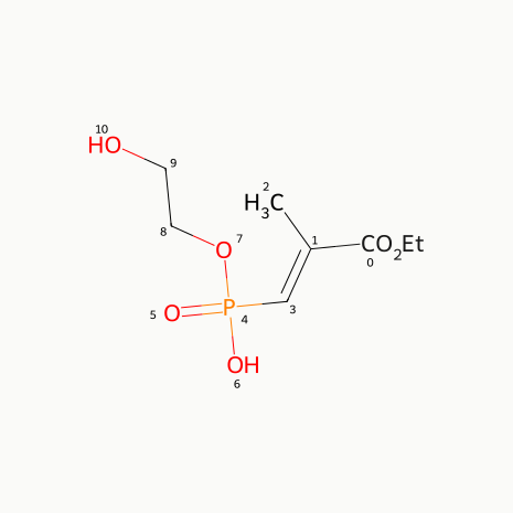 CCOC(=O)C(C)=CP(=O)(O)OCCO